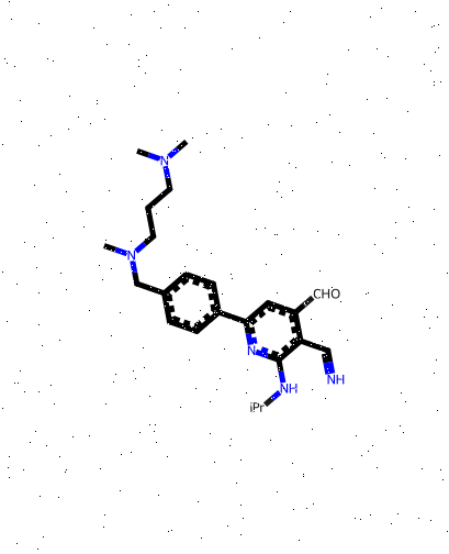 CC(C)Nc1nc(-c2ccc(CN(C)CCCN(C)C)cc2)cc(C=O)c1C=N